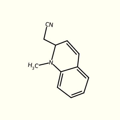 CN1c2ccccc2C=CC1CC#N